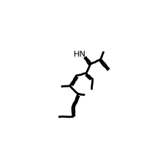 C=C(C)C(=N)C(/C=C(/C)C(C)=C=CC)=C/C